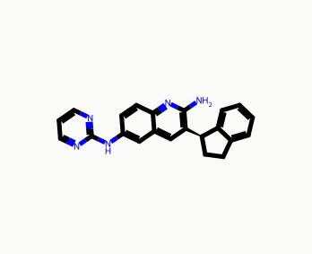 Nc1nc2ccc(Nc3ncccn3)cc2cc1[C@@H]1CCc2ccccc21